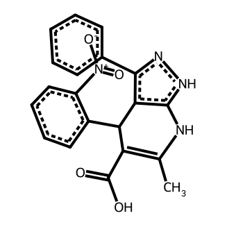 CC1=C(C(=O)O)C(c2ccccc2[N+](=O)[O-])c2c(-c3ccccc3)n[nH]c2N1